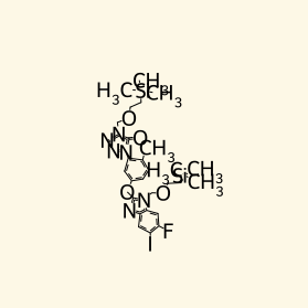 Cc1ccc(Oc2nc3cc(I)c(F)cc3n2COCC[Si](C)(C)C)cc1-n1nnn(COCC[Si](C)(C)C)c1=O